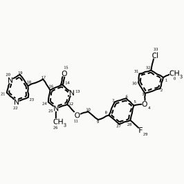 Cc1cc(Oc2ccc(CCOc3nc(=O)c(Cc4cncnc4)cn3C)cc2F)ccc1Cl